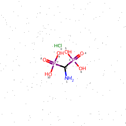 Cl.NC(P(=O)(O)O)P(=O)(O)O